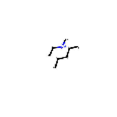 CCCCC.CCNC